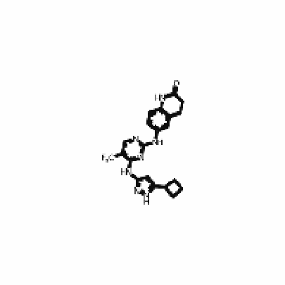 O=C1CCc2cc(Nc3ncc(C(F)(F)F)c(Nc4cc(C5CCC5)[nH]n4)n3)ccc2N1